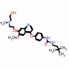 COc1cc2c(Oc3ccc(NC(=O)NCCC(C)(C)C)cc3)ccnc2cc1OCCN(C)CCO